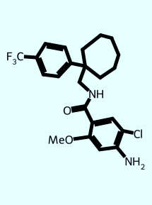 COc1cc(N)c(Cl)cc1C(=O)NCC1(c2ccc(C(F)(F)F)cc2)CCCCCC1